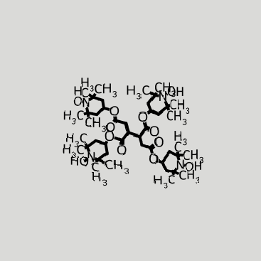 CC1(C)CC(OC(=O)CC(C(=O)OC2CC(C)(C)N(O)C(C)(C)C2)C(CC(=O)OC2CC(C)(C)N(O)C(C)(C)C2)C(=O)OC2CC(C)(C)N(O)C(C)(C)C2)CC(C)(C)N1O